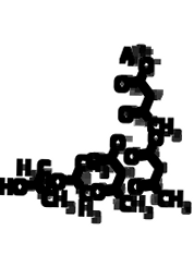 CC(=O)CC(=O)[O-].CC(=O)CC(=O)[O-].CC(=O)CC(=O)[O-].CC(C)O.CC(C)O.[Al+3]